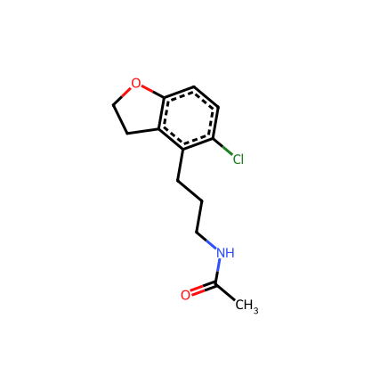 CC(=O)NCCCc1c(Cl)ccc2c1CCO2